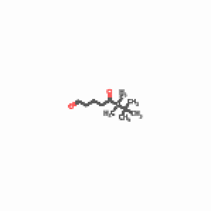 CC(C)(C)[Si](C)(C)C(=O)CCCC=O